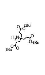 CC(C)(C)OC(=O)CCC(N)(CCC(=O)OC(C)(C)C)CCC(=O)OC(C)(C)C